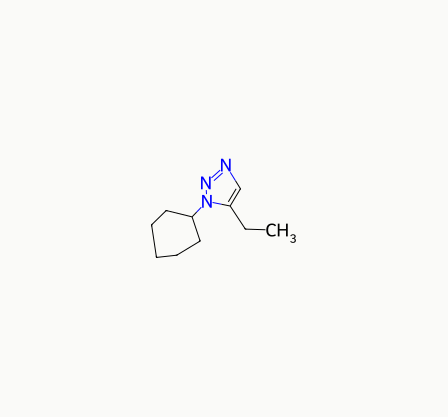 CCc1cnnn1C1CCCCC1